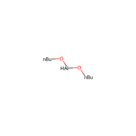 CCCC[O][AlH][O]CCCC